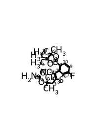 CC(C)(Cc1sc2c(F)ccc(B3OC(C)(C)C(C)(C)O3)c2c1C#N)OC(N)=O